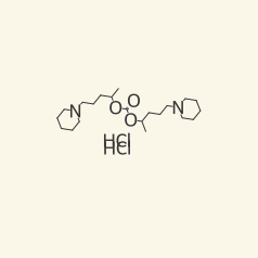 CC(CCCN1CCCCC1)OC(=O)OC(C)CCCN1CCCCC1.Cl.Cl